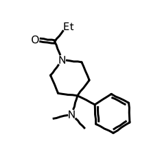 CCC(=O)N1CCC(c2ccccc2)(N(C)C)CC1